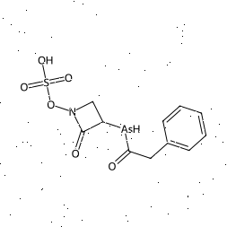 O=C(Cc1ccccc1)[AsH]C1CN(OS(=O)(=O)O)C1=O